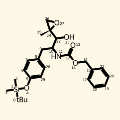 CC(C)(C)[Si](C)(C)Oc1ccc(CC(NC(=O)OCc2ccccc2)C(O)[C@]2(C)CO2)cc1